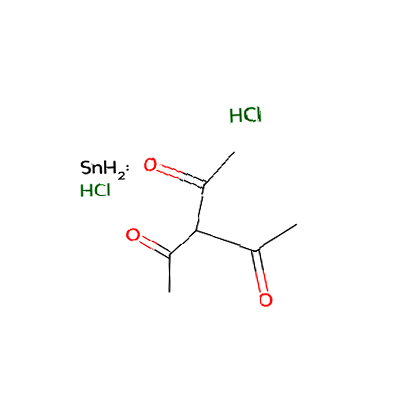 CC(=O)C(C(C)=O)C(C)=O.Cl.Cl.[SnH2]